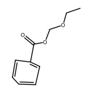 CCO[CH]OC(=O)c1ccccc1